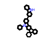 c1ccc(-n2c3ccc(-c4ccc5[nH]c6ccccc6c5c4)cc3c3cc4c(cc32)C2(CCCCC2)c2ccccc2-4)cc1